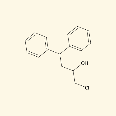 OC(CCl)CC(c1ccccc1)c1ccccc1